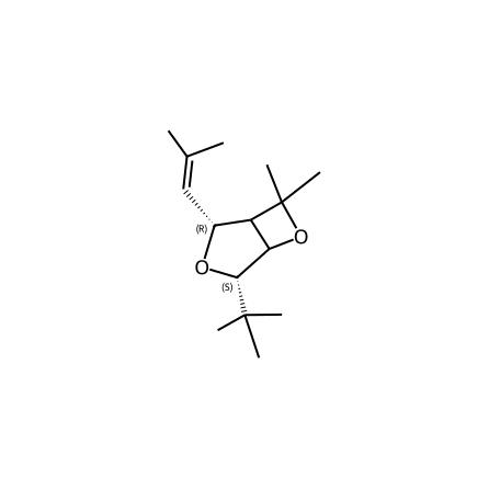 CC(C)=C[C@H]1O[C@@H](C(C)(C)C)C2OC(C)(C)C21